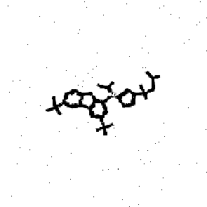 C[C](C)=[Zr]([C]1=CC(C(C)(C)CC(C)C)=CC1)[c]1cc(C(C)(C)C)cc2c1Cc1ccc(C(C)(C)C)cc1-2